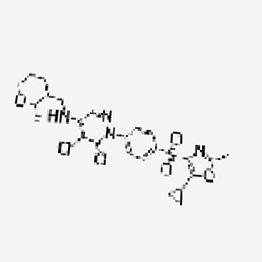 Cc1nc(S(=O)(=O)c2ccc(-n3ncc(NC[C@@H]4CCCOC4F)c(Cl)c3=O)cc2)c(C2CC2)o1